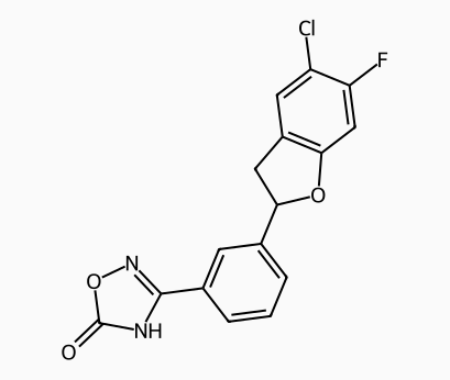 O=c1[nH]c(-c2cccc(C3Cc4cc(Cl)c(F)cc4O3)c2)no1